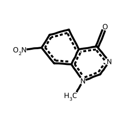 Cn1cnc(=O)c2ccc([N+](=O)[O-])cc21